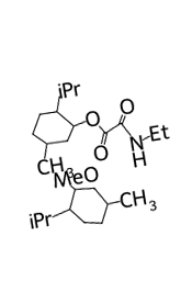 CCNC(=O)C(=O)OC1CC(C)CCC1C(C)C.COC1CC(C)CCC1C(C)C